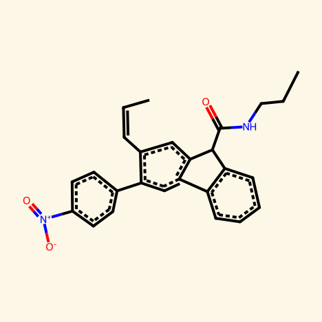 C/C=C\c1cc2c(cc1-c1ccc([N+](=O)[O-])cc1)-c1ccccc1C2C(=O)NCCC